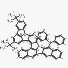 CC(C)(C)c1ccc2c(c1)c1cc(C(C)(C)C)cc3c4c5c6c7ccccc7cc7c8cc9ccccc9c(N(c9ccccc9)c9ccccc9)c8n(c5cnc4n2c13)c76